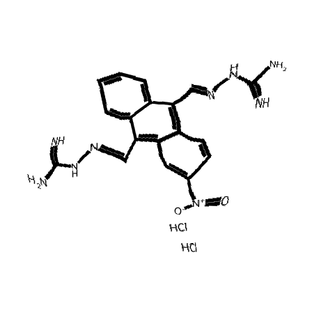 Cl.Cl.N=C(N)NN=Cc1c2ccccc2c(C=NNC(=N)N)c2cc([N+](=O)[O-])ccc12